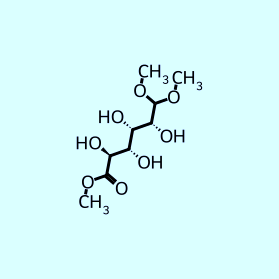 COC(=O)[C@@H](O)[C@@H](O)[C@H](O)[C@@H](O)C(OC)OC